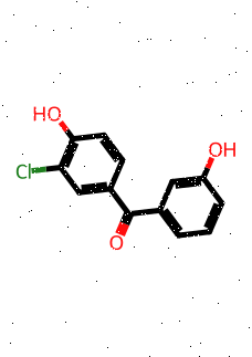 O=C(c1cccc(O)c1)c1ccc(O)c(Cl)c1